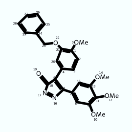 COc1ccc(C2=C(c3cc(OC)c(OC)c(OC)c3)N=NC2=O)cc1OCc1ccccc1